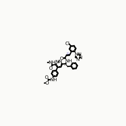 CNC(=O)c1nnc([C@H](Cc2ccccc2)NC(=O)/C=C/c2cc(Cl)ccc2-n2cnnn2)cc1-c1ccc(NC(=O)OC)cc1